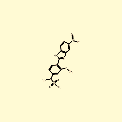 COc1cc(N(C)S(C)(=O)=O)ccc1-c1nc2cc([N+](=O)[O-])ccc2[nH]1